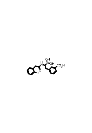 O=C(Cc1ccccc1Cl)NC(Cc1cccc(C(=O)O)c1)B(O)O